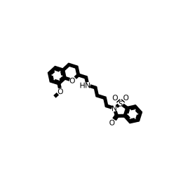 COc1cccc2c1OC(CNCCCCN1C(=O)c3ccccc3S1(=O)=O)CC2